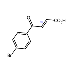 O=C(O)/C=C/C(=O)c1ccc(Br)cc1